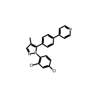 Cc1cnn(-c2ccc(Cl)cc2Cl)c1-c1ccc(-c2ccncc2)cc1